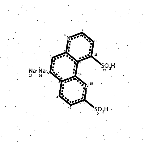 O=S(=O)(O)c1ccc2ccc3nccc(S(=O)(=O)O)c3c2n1.[Na].[Na]